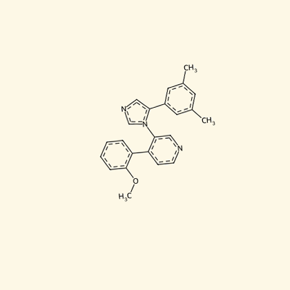 COc1ccccc1-c1ccncc1-n1cncc1-c1cc(C)cc(C)c1